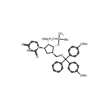 COc1ccc(C(OC[C@H]2C[C@@H](n3ccc(=O)[nH]c3=O)[C@H](OC)[C@@H]2O[Si](C)(C)C(C)(C)C)(c2ccccc2)c2ccc(OC)cc2)cc1